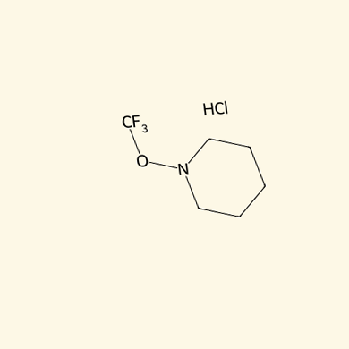 Cl.FC(F)(F)ON1CCCCC1